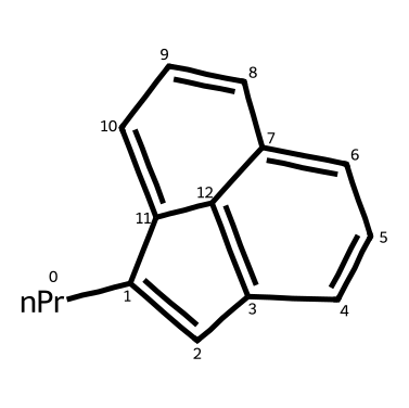 CCCC1=Cc2cccc3cccc1c23